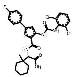 CC1([C@H](NC(=O)c2sc(-c3ccc(F)cc3)cc2NC(=O)Nc2c(Cl)cccc2Cl)C(=O)O)CCCCC1